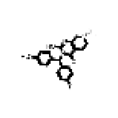 Cc1ccc(C(c2ccc(F)cc2)n2c(O)nc3c(c2=O)CCN(C)C3)cc1